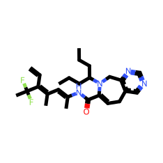 C=C/C(=C(C)\C=C(/C)NC(=O)C1=CCc2cncnc2CN1C(CCC)CCC)C(C)(F)F